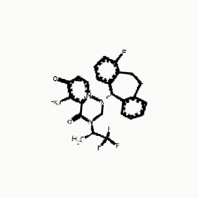 C[C@@H](N1CN([C@H]2c3ccccc3CCc3c(F)cccc32)n2ccc(=O)c(O)c2C1=O)C(F)(F)F